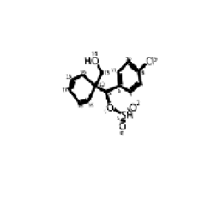 O=[SH](=O)OC(c1ccc(Cl)cc1)C1(CO)C=[C]C=CC1